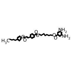 CCCCCc1ccc(OC(=O)C=Cc2ccc(C(=O)OCCCCCCCCOC(=O)c3cc(N)cc(N)c3)cc2)cc1